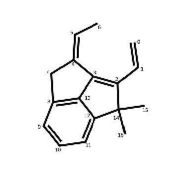 C=CC1=C2/C(=C\C)Cc3cccc(c32)C1(C)C